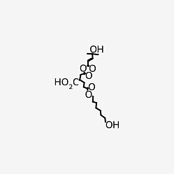 CC(C)(O)/C=C/C(=O)OC(=O)CC(CCC(=O)OCCCCCCCCO)C(=O)O